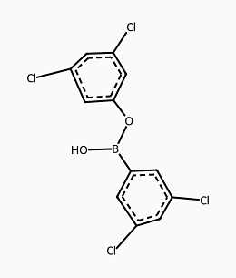 OB(Oc1cc(Cl)cc(Cl)c1)c1cc(Cl)cc(Cl)c1